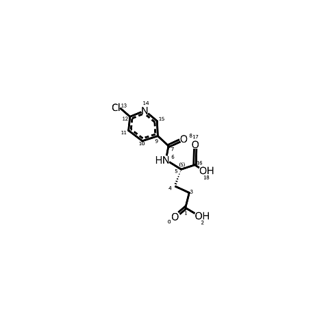 O=C(O)CC[C@H](NC(=O)c1ccc(Cl)nc1)C(=O)O